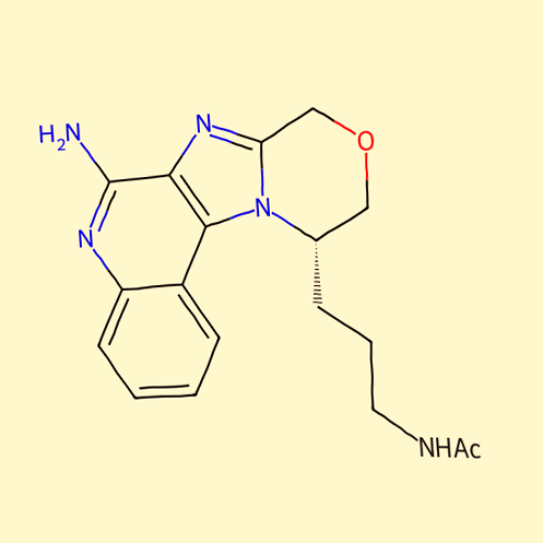 CC(=O)NCCC[C@H]1COCc2nc3c(N)nc4ccccc4c3n21